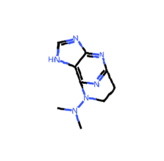 CN(C)N1CCc2nc1c1[nH]cnc1n2